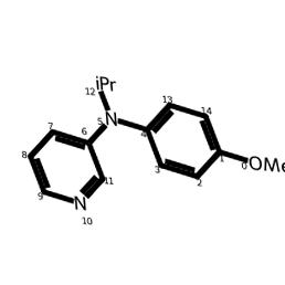 COc1ccc(N(c2cccnc2)C(C)C)cc1